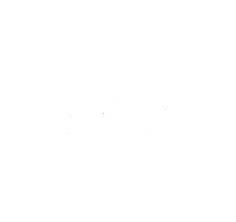 CCN(CC)CCOC(C[O])CN(C)C